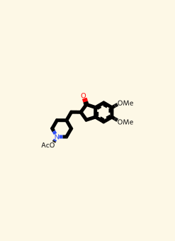 COc1cc2c(cc1OC)C(=O)C(CC1CCN(OC(C)=O)CC1)C2